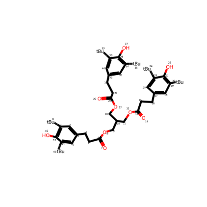 CC(C)(C)c1cc(CCC(=O)OCC(COC(=O)CCc2cc(C(C)(C)C)c(O)c(C(C)(C)C)c2)COC(=O)CCc2cc(C(C)(C)C)c(O)c(C(C)(C)C)c2)cc(C(C)(C)C)c1O